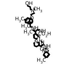 C/C(NCC1CC2(C)CC3(C)CC1CC(OCCN(C)CCCO)(C2)C3)=C(/C=N)c1ccc(N2CCCc3c2nnc(Nc2nc4cc(C)ccc4s2)c3C)nc1C(=O)O